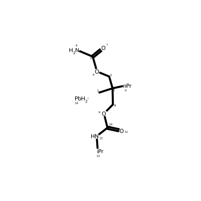 CCCC(C)(COC(N)=O)COC(=O)NC(C)C.[PbH2]